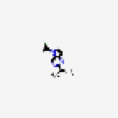 C=C(C)c1ncc2c(ccn2C2CC2F)n1